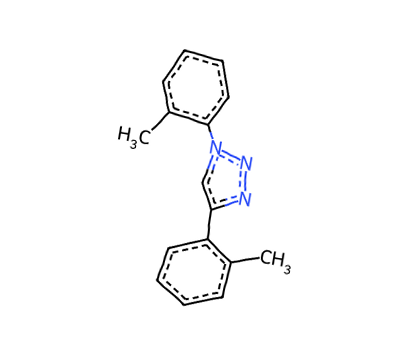 Cc1ccccc1-c1cn(-c2ccccc2C)nn1